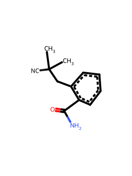 CC(C)(C#N)Cc1ccccc1C(N)=O